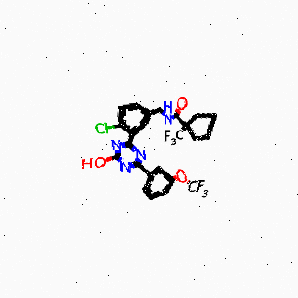 O=C(NCc1ccc(Cl)c(-c2nc(O)nc(-c3cccc(OC(F)(F)F)c3)n2)c1)C1(C(F)(F)F)CCCC1